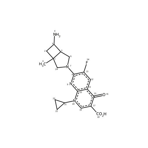 CC12CC(N)C1CN(c1nc3c(cc1F)c(=O)c(C(=O)O)cn3C1CC1)C2